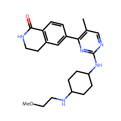 COCCNC1CCC(Nc2ncc(C)c(-c3ccc4c(c3)CCNC4=O)n2)CC1